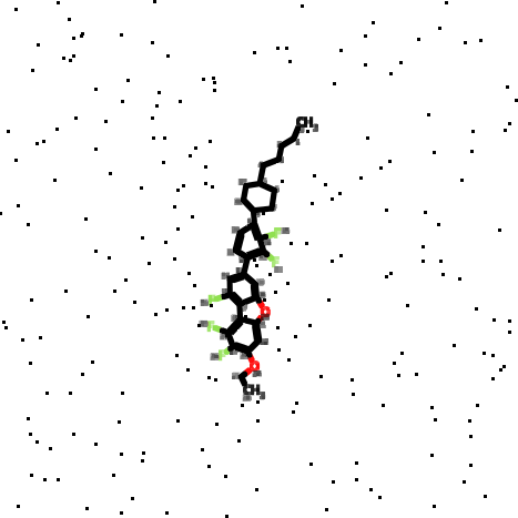 CCCCCC1CCC(c2ccc(-c3cc(F)c4c(c3)oc3cc(OCC)c(F)c(F)c34)c(F)c2F)CC1